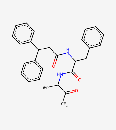 CC(C)C(NC(=O)C(Cc1ccccc1)NC(=O)CC(c1ccccc1)c1ccccc1)C(=O)C(F)(F)F